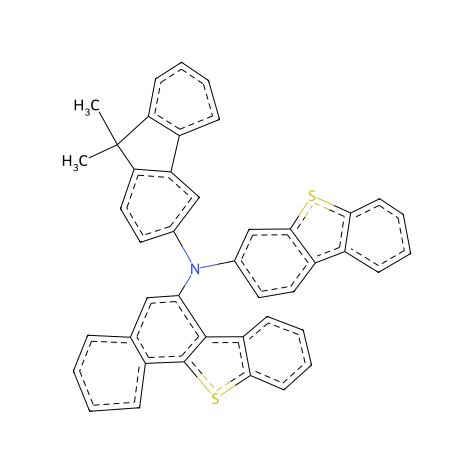 CC1(C)c2ccccc2-c2cc(N(c3ccc4c(c3)sc3ccccc34)c3cc4ccccc4c4sc5ccccc5c34)ccc21